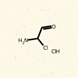 Cl.NC(Cl)C=O